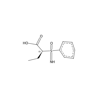 CC[C@@H](C(=O)O)S(=N)(=O)c1ccccc1